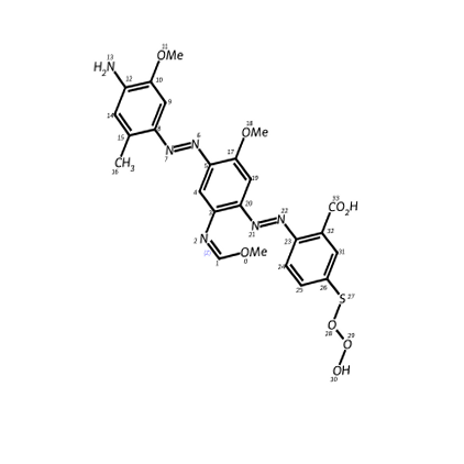 CO/C=N\c1cc(N=Nc2cc(OC)c(N)cc2C)c(OC)cc1N=Nc1ccc(SOOO)cc1C(=O)O